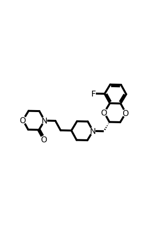 O=C1COCCN1CCC1CCN(C[C@H]2COc3cccc(F)c3O2)CC1